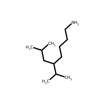 [CH2]C(C)C(CCCCN)CC(C)C